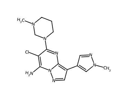 CN1CCCN(c2nc3c(-c4cnn(C)c4)cnn3c(N)c2Cl)C1